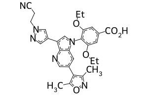 CCOc1cc(C(=O)O)cc(OCC)c1-n1cc(-c2cnn(CCC#N)c2)c2ncc(-c3c(C)noc3C)cc21